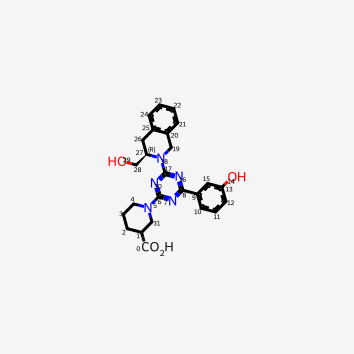 O=C(O)C1CCCN(c2nc(-c3cccc(O)c3)nc(N3Cc4ccccc4C[C@@H]3CO)n2)C1